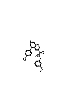 CSc1cccc(CNC(=O)c2ccc3cncc(-c4ccc(Cl)cc4)c3c2)c1